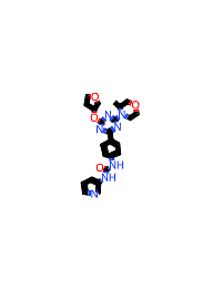 CC1COCCN1c1nc(OC2CCOC2)nc(-c2ccc(NC(=O)Nc3cccnc3)cc2)n1